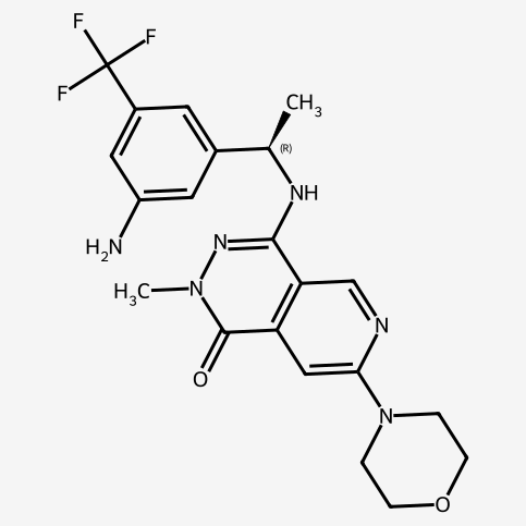 C[C@@H](Nc1nn(C)c(=O)c2cc(N3CCOCC3)ncc12)c1cc(N)cc(C(F)(F)F)c1